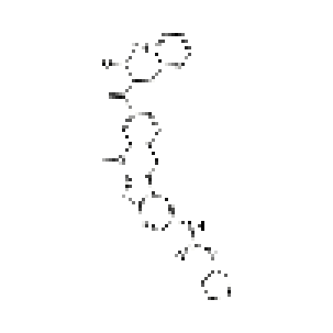 COc1cc(C(=O)C(Sc2ccccc2)C(=O)O)ccc1Cn1ncc2ccc(NC(=O)OC3CCCC3)cc21